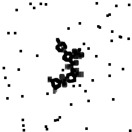 CN1CCN(c2ccc(C(=O)Nc3n[nH]c4c3CN(S(=O)(=O)c3cc(F)cc(F)c3)CC4)c(NS(C)(=O)=O)c2)CC1